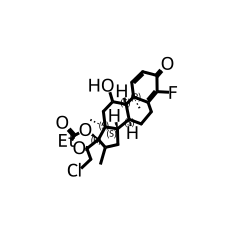 CCC(=O)O[C@]1(C(=O)CCl)C(C)C[C@H]2[C@@H]3CCC4=C(F)C(=O)C=C[C@]4(C)[C@H]3C(O)C[C@@]21C